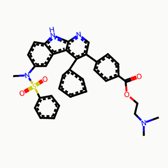 CN(C)CCOC(=O)c1ccc(-c2cnc3[nH]c4ccc(N(C)S(=O)(=O)c5ccccc5)cc4c3c2-c2ccccc2)cc1